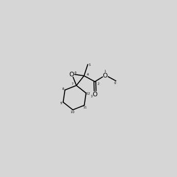 COC(=O)C1(C)OC12CCCCC2